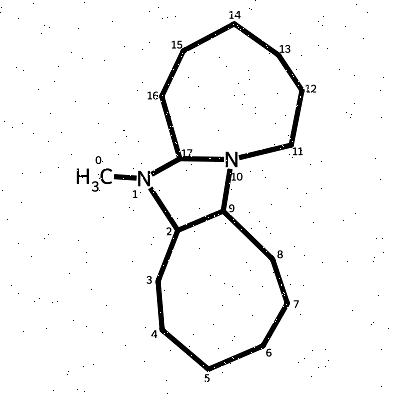 CN1C2CCCCCCC2N2CCCCCCC12